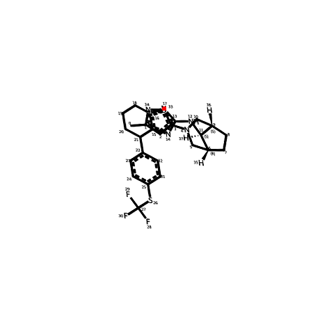 Cc1cc(N2C[C@H]3CC[C@@H](C2)[C@@H]3Nc2nc3n(n2)CCCC3c2ccc(SC(F)(F)F)cc2)sn1